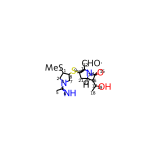 CSC1CN(C(C)=N)CC1SC1=C([C]=O)N2C(=O)C(C(C)O)[C@H]2C1